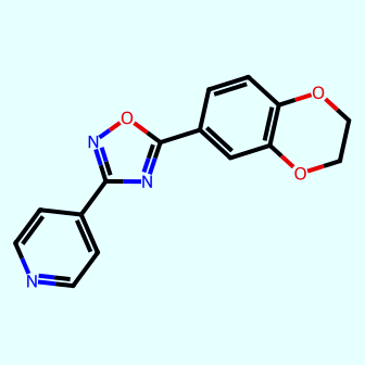 c1cc(-c2noc(-c3ccc4c(c3)OCCO4)n2)ccn1